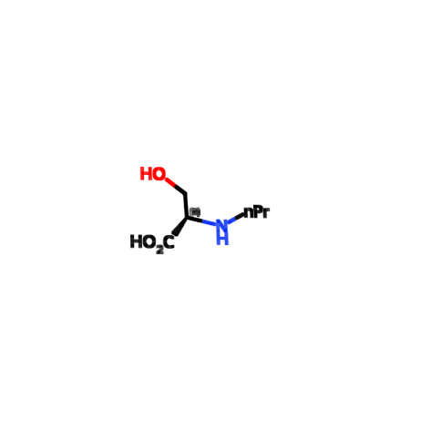 CCCN[C@H](CO)C(=O)O